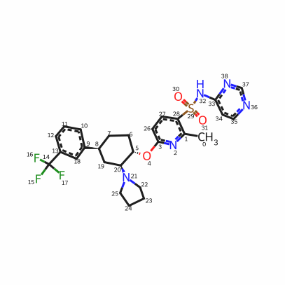 Cc1nc(O[C@H]2CC[C@H](c3cccc(C(F)(F)F)c3)C[C@@H]2N2CCCC2)ccc1S(=O)(=O)Nc1ccncn1